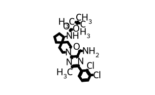 Cc1nc(N2CCC3(CCC[C@H]3NC(=O)OC(C)(C)C)CC2)c(C(N)=O)nc1-c1cccc(Cl)c1Cl